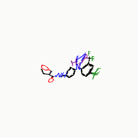 O=C(NCc1ccc(Nc2ccc(F)cc2C(F)(F)P)cc1)C1CCOC1